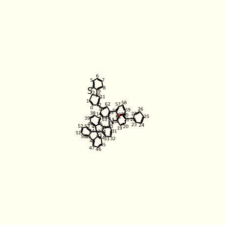 C1=CC2Sc3ccccc3C2C=C1c1ccc(N(c2ccc(-c3ccccc3)cc2)c2cccc3c2-c2ccccc2C32c3ccccc3-c3ccccc32)c(-c2ccccc2)c1